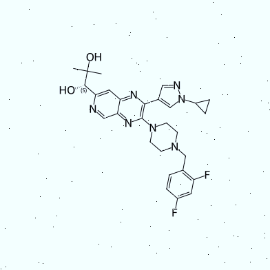 CC(C)(O)[C@@H](O)c1cc2nc(-c3cnn(C4CC4)c3)c(N3CCN(Cc4ccc(F)cc4F)CC3)nc2cn1